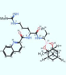 CNC(=N)NCCC[C@H](NC(=O)c1ccc2ccccc2n1)C(=O)N[C@@H](CC(C)C)B1O[C@@H]2C[C@@H]3C[C@@H](C3(C)C)[C@]2(C)O1